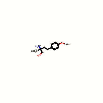 CCCCCCOc1ccc(CCC(N)(CO)C(=O)O)cc1